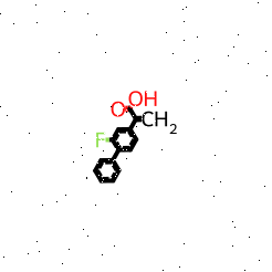 C=C(C(=O)O)c1ccc(-c2ccccc2)c(F)c1